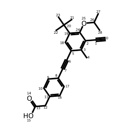 C#Cc1c(C)c(C#Cc2ccc(CC(=O)O)cc2)cc(C(C)(C)C)c1OC(C)C